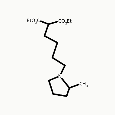 CCOC(=O)C(CCCCN1CCCC1C)C(=O)OCC